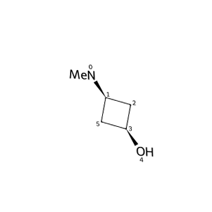 CN[C@H]1C[C@@H](O)C1